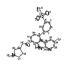 CCS(=O)(=O)c1cccc(-c2ccc(OCC3CCN(C)C3)c3[nH]c4ncc(C)cc4c23)c1